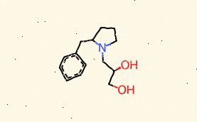 OC[C@H](O)CN1CCCC1Cc1ccccc1